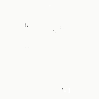 Nc1ccc2c(c1)CCCC(c1cnoc1)=C2c1ccc(OC2CCN(CCCF)C2)cc1